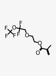 C=C(C)C(=O)OCCOCC(F)(F)OC(F)(F)F